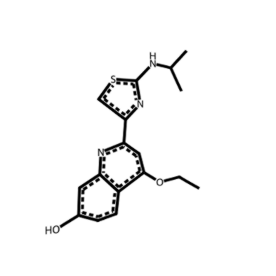 CCOc1cc(-c2csc(NC(C)C)n2)nc2cc(O)ccc12